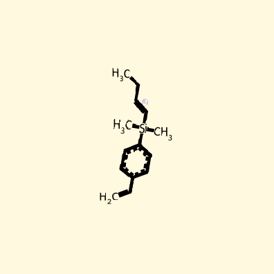 C=Cc1ccc([Si](C)(C)/C=C/CC)cc1